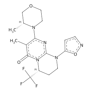 Cc1c(N2CCOC[C@H]2C)nc2n(c1=O)[C@@H](C(F)(F)F)CCN2c1ccno1